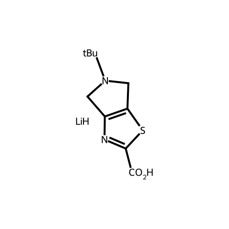 CC(C)(C)N1Cc2nc(C(=O)O)sc2C1.[LiH]